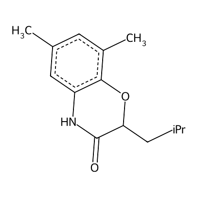 Cc1cc(C)c2c(c1)NC(=O)C(CC(C)C)O2